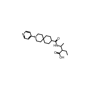 CCC(C(=O)O)C(C)NC(=O)C1CCC2(CC1)CCN(c1ccncc1)CC2